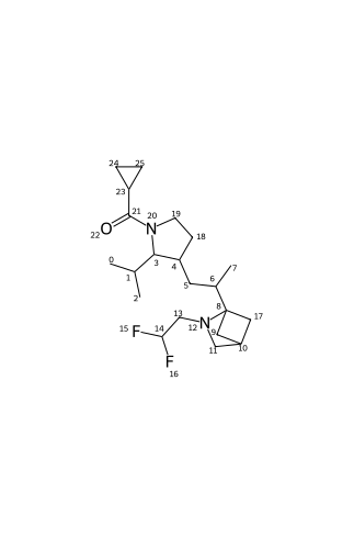 CC(C)C1C(CC(C)C23CC(CN2CC(F)F)C3)CCN1C(=O)C1CC1